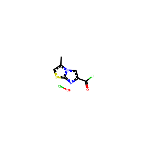 Cc1csc2nc(C(=O)Cl)cn12.OCl